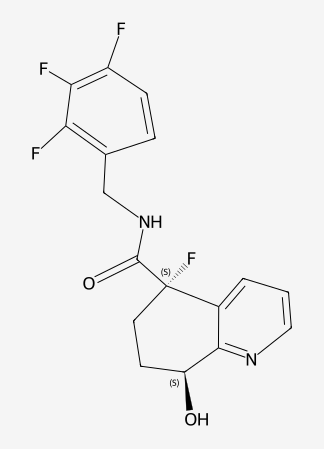 O=C(NCc1ccc(F)c(F)c1F)[C@]1(F)CC[C@H](O)c2ncccc21